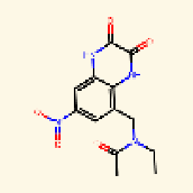 [CH2]CN(Cc1cc([N+](=O)[O-])cc2[nH]c(=O)c(=O)[nH]c12)C(C)=O